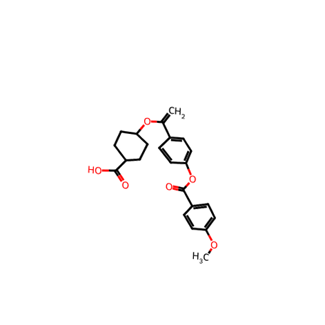 C=C(OC1CCC(C(=O)O)CC1)c1ccc(OC(=O)c2ccc(OC)cc2)cc1